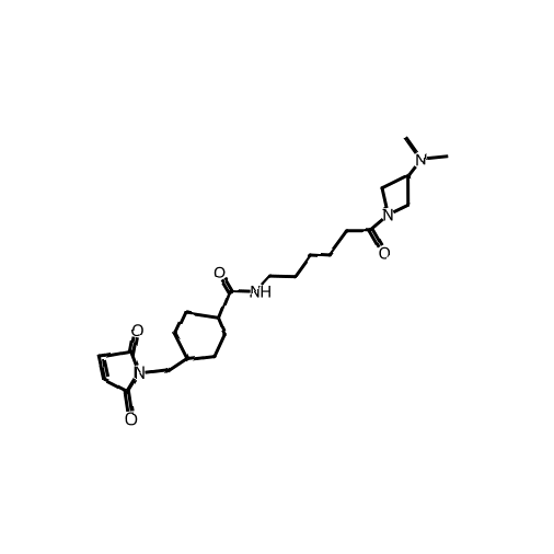 CN(C)C1CN(C(=O)CCCCCNC(=O)C2CCC(CN3C(=O)C=CC3=O)CC2)C1